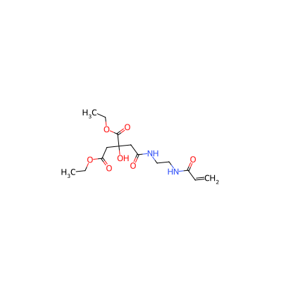 C=CC(=O)NCCNC(=O)CC(O)(CC(=O)OCC)C(=O)OCC